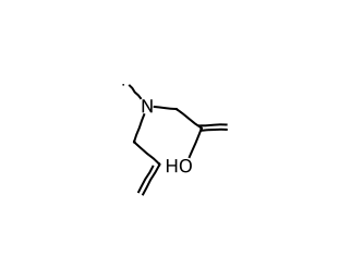 [CH2]N(CC=C)CC(=C)O